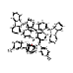 N#Cc1ccc2c(c1)c1ccccc1n2-c1cccc2c1Oc1c(-n3c4ccccc4c4cc(C#N)ccc43)cccc1C21c2cc(-n3c4ccccc4c4ccccc43)cnc2-c2ncc(-n3c4ccccc4c4ccccc43)cc21